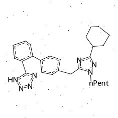 CCCCCn1nc(C2CCCCC2)nc1Cc1ccc(-c2ccccc2-c2nnn[nH]2)cc1